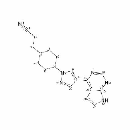 N#CCCC1CCC(n2cc(-c3ncnc4[nH]ccc34)cn2)CC1